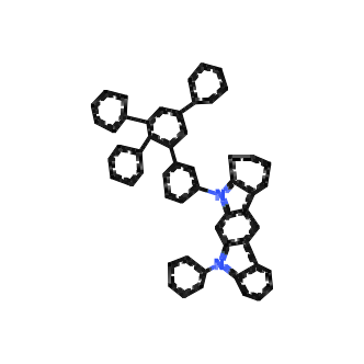 c1ccc(-c2cc(-c3ccccc3)c(-c3ccccc3)c(-c3cccc(-n4c5ccccc5c5cc6c7ccccc7n(-c7ccccc7)c6cc54)c3)c2)cc1